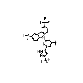 CC(C)(C)c1cc(-c2cc(C(F)(F)F)n[nH]2)nc(-n2c3ccc(C(F)(F)F)cc3c3cc(C(F)(F)F)ccc32)c1